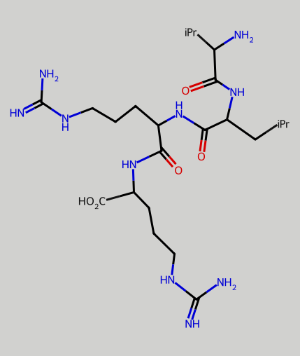 CC(C)CC(NC(=O)C(N)C(C)C)C(=O)NC(CCCNC(=N)N)C(=O)NC(CCCNC(=N)N)C(=O)O